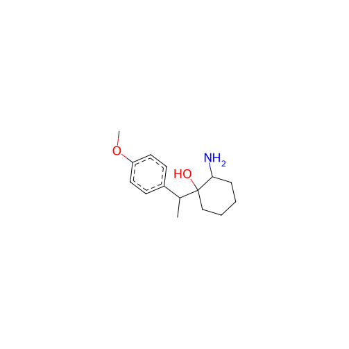 COc1ccc(C(C)C2(O)CCCCC2N)cc1